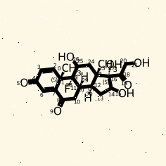 C[C@]12C=CC(=O)C=C1C(=O)C[C@H]1[C@@H]3CC(O)[C@](O)(C(=O)CO)[C@@]3(C)CC(O)[C@@]12F